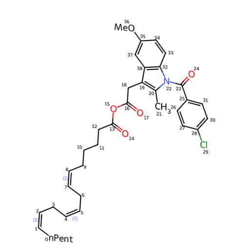 CCCCC/C=C\C/C=C\C/C=C\CCCCC(=O)OC(=O)Cc1c(C)n(C(=O)c2ccc(Cl)cc2)c2ccc(OC)cc12